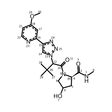 CNC(=O)[C@H]1CC(O)CN1C(=O)C(n1cc(-c2cc(OC)ccn2)nn1)C(C)(C)C